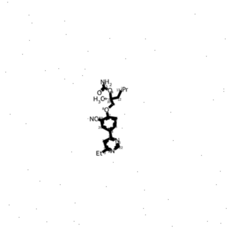 CCc1cc(-c2ccc(OC[C@](C)(CC(C)C)OC(N)=O)c(C#N)c2)ncn1